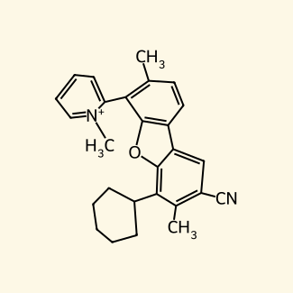 Cc1ccc2c(oc3c(C4CCCCC4)c(C)c(C#N)cc32)c1-c1cccc[n+]1C